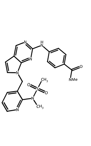 CNC(=O)c1ccc(Nc2ncc3ccn(Cc4cccnc4N(C)S(C)(=O)=O)c3n2)cc1